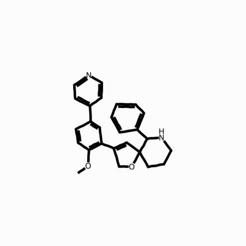 COc1ccc(-c2ccncc2)cc1C1=CC2(CCCNC2c2ccccc2)OC1